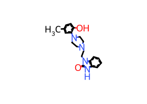 Cc1ccc(O)c(N2CCN(CCn3c(=O)[nH]c4ccccc43)CC2)c1